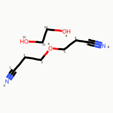 N#CCCOCCC#N.OCCO